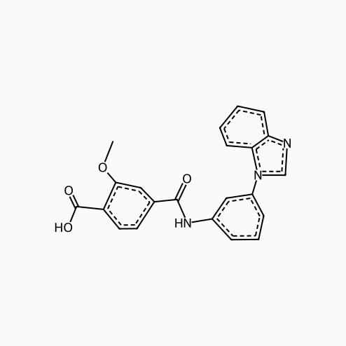 COc1cc(C(=O)Nc2cccc(-n3cnc4ccccc43)c2)ccc1C(=O)O